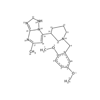 COc1ccc(OC)c(CN2CCCC(C3=CC(C)=NC4=NCNN34)C2)c1